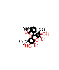 O=C1OC2(c3ccccc31)c1cc([N+](=O)[O-])c(O)c(Br)c1Oc1c2cc([N+](=O)[O-])c(O)c1Br.[NaH].[NaH]